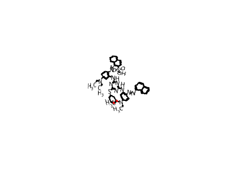 CCN(CC)c1ccc(/N=N/c2cccc3ccccc23)c(Nc2nc(Nc3cc(N(CC)CC)ccc3/N=N/c3c(S(=O)(=O)O)ccc4ccccc34)nc(SC3CCCCC3)n2)c1